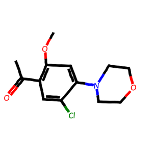 COc1cc(N2CCOCC2)c(Cl)cc1C(C)=O